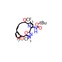 CC(C)(C)OC(=O)Nc1cc(C(F)(F)F)c2nc1-c1nnc(o1)C(O)(C(F)(F)F)c1cc(ccc1F)C=CCCC2=O